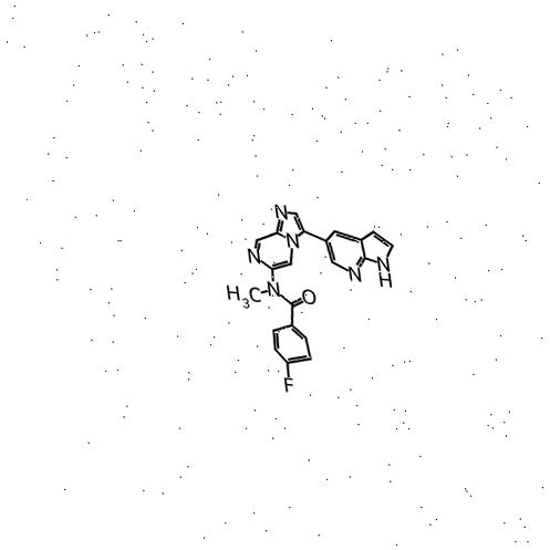 CN(C(=O)c1ccc(F)cc1)c1cn2c(-c3cnc4[nH]ccc4c3)cnc2cn1